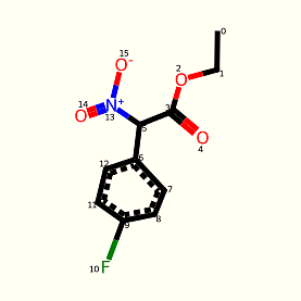 CCOC(=O)C(c1ccc(F)cc1)[N+](=O)[O-]